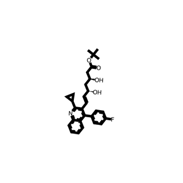 CC(C)(C)OC(=O)C[C@@H](O)C[C@H](O)/C=C/c1c(C2CC2)nc2ccccc2c1-c1ccc(F)cc1